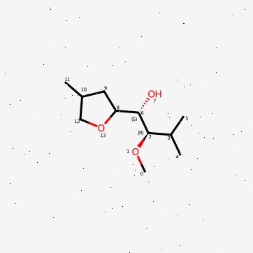 CO[C@H](C(C)C)[C@@H](O)C1CC(C)CO1